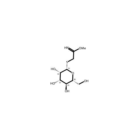 COC(=N)CS[C@@H]1O[C@H](CO)[C@@H](O)[C@H](O)[C@@H]1O